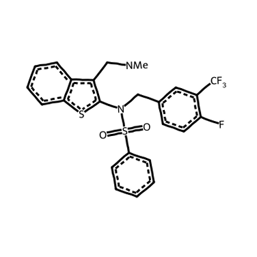 CNCc1c(N(Cc2ccc(F)c(C(F)(F)F)c2)S(=O)(=O)c2ccccc2)sc2ccccc12